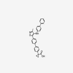 Cc1noc(-c2ccc(-c3ccc(C4(C(=O)O)CC4)cc3)cc2)c1Nc1ccc(-c2ccccc2)cc1